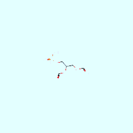 O=COCC(CO[PH](=O)O)OC=O